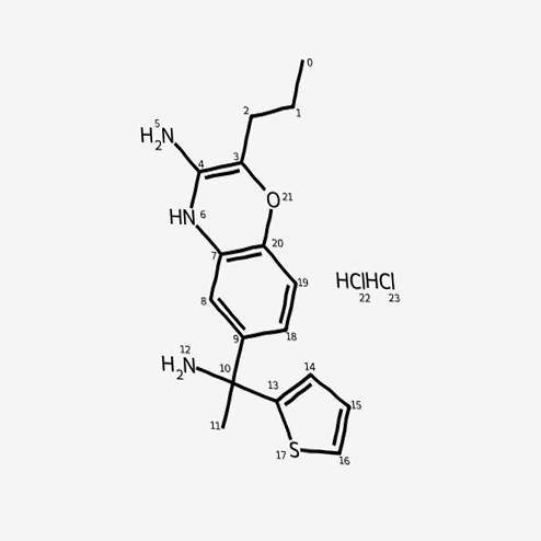 CCCC1=C(N)Nc2cc(C(C)(N)c3cccs3)ccc2O1.Cl.Cl